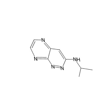 CC(C)Nc1cc2nccnc2nn1